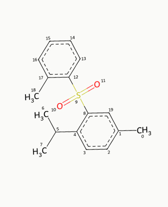 Cc1ccc(C(C)C)c(S(=O)(=O)c2ccccc2C)c1